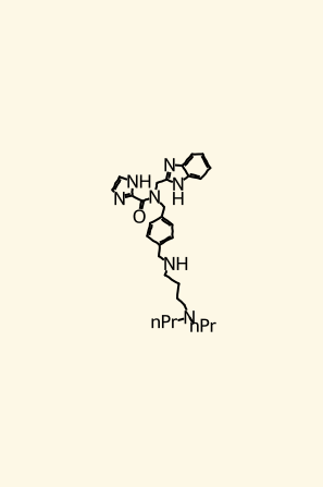 CCCN(CCC)CCCCNCc1ccc(CN(Cc2nc3ccccc3[nH]2)C(=O)c2ncc[nH]2)cc1